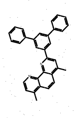 Cc1ccnc2c1ccc1c(C)cc(-c3cc(-c4ccccc4)cc(-c4ccccc4)c3)nc12